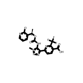 C[C@@H](OC(=O)Nc1c(-c2ccc(C(=O)O)c(C(F)(F)F)n2)nnn1C)c1cccnc1Cl